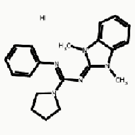 Cn1c(=NC(=Nc2ccccc2)N2CCCC2)n(C)c2ccccc21.I